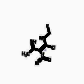 CC(=N)/C(=C(/Cl)NCF)[SH](=O)=O